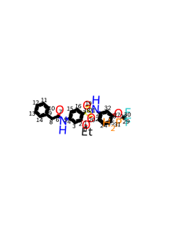 CCOc1cc(NC(=O)Cc2ccccc2)ccc1S(=O)(=O)Nc1cccc(OC(F)(F)P)c1